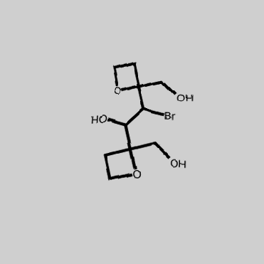 OCC1(C(O)C(Br)C2(CO)CCO2)CCO1